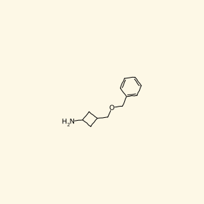 NC1CC(COCc2ccccc2)C1